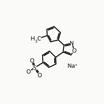 Cc1cccc(-c2nocc2-c2ccc(S(=O)(=O)[O-])cc2)c1.[Na+]